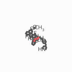 C#Cc1c(F)ccc2cc(OCOC)cc(-c3ncc4c(N5CC6CCC(C5)N6C(=O)OC(C)(C)C)nc(CCCN5CCC(CC6CCNCC6)CC5)nc4c3F)c12